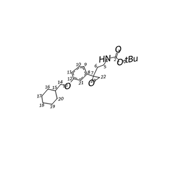 CC(C)(C)OC(=O)NCCC1(c2cccc(OCC3CCCCC3)c2)CO1